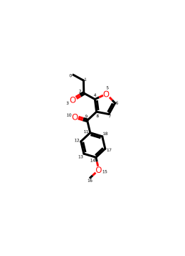 CCC(=O)c1occc1C(=O)c1ccc(OC)cc1